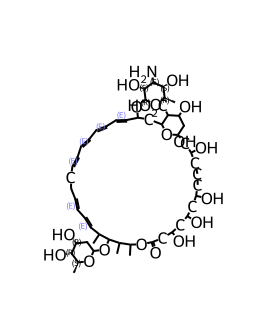 CC1/C=C/C=C/CC/C=C/C=C/C=C/C=C/C(O[C@@H]2O[C@H](C)[C@@H](O)[C@H](N)[C@@H]2O)CC2OC(O)(CC(O)CCCC(O)CC(O)CC(O)CC(=O)OC(C)C(C)C1OC1C[C@@H](O)[C@@H](O)[C@H](C)O1)CC(O)C2C(=O)O